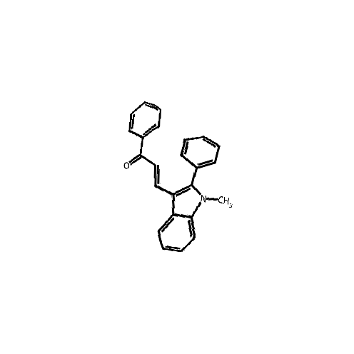 Cn1c(-c2ccccc2)c(C=CC(=O)c2ccccc2)c2ccccc21